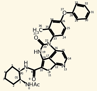 CC(=O)N[C@H]1CCCC[C@H]1NC(=O)c1sc2nccc3c2c1NC(=O)N3c1ccc(Oc2ccccc2)cc1C